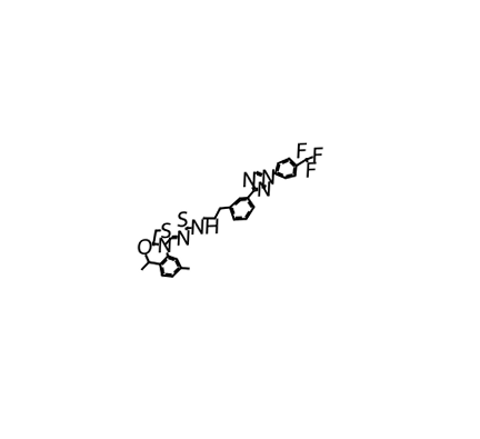 Cc1ccc(C(C)C)c(N2C(=O)CS/C2=N\C(=S)NCCCc2cccc(-c3ncn(-c4ccc(C(F)(F)F)cc4)n3)c2)c1